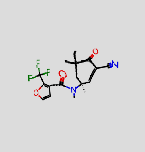 CN(C(=O)c1ccoc1C(F)(F)F)[C@]1(C)C=C(C#N)C(=O)C(C)(C)C1